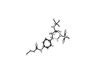 CCCC(=O)Oc1ccc([C@@H](COS(C)(=O)=O)NC(=O)OC(C)(C)C)cc1